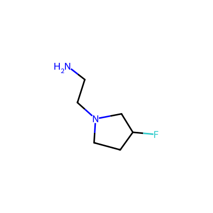 NCCN1CCC(F)C1